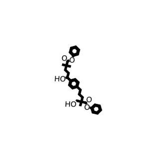 CC(C)(CCC(O)c1ccc(CCCC(C)(CO)C(=O)Oc2ccccc2)cc1)C(=O)Oc1ccccc1